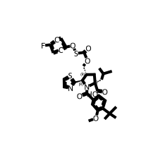 COc1cc(C(=O)N2[C@@H](c3nccs3)[C@H](COC(=O)SOc3ccc(F)cc3)C[C@@]2(CC(C)C)C(=O)O)ccc1C(C)(C)C